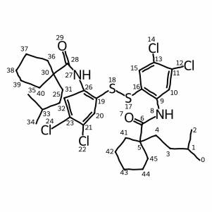 CC(C)CCC1(C(=O)Nc2cc(Cl)c(Cl)cc2SSc2cc(Cl)c(Cl)cc2NC(=O)C2(CCC(C)C)CCCCC2)CCCCC1